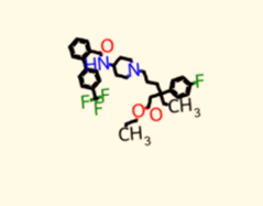 CCCOC(=O)CC(CC)(CCCN1CCC(NC(=O)c2ccccc2-c2ccc(C(F)(F)F)cc2)CC1)c1ccc(F)cc1